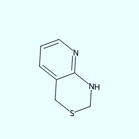 c1cnc2c(c1)CSCN2